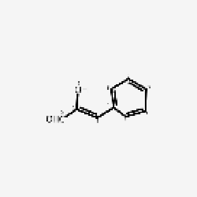 O=CC(O)=Cc1ccccc1